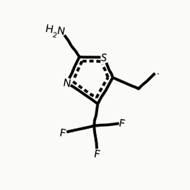 [CH2]Cc1sc(N)nc1C(F)(F)F